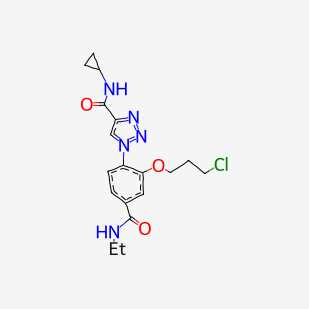 CCNC(=O)c1ccc(-n2cc(C(=O)NC3CC3)nn2)c(OCCCCl)c1